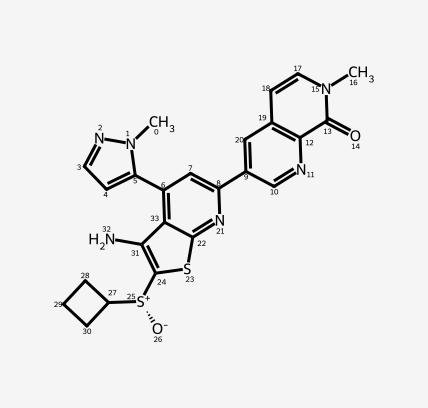 Cn1nccc1-c1cc(-c2cnc3c(=O)n(C)ccc3c2)nc2sc([S@+]([O-])C3CCC3)c(N)c12